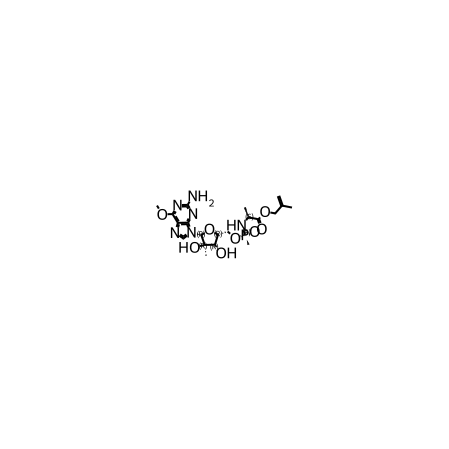 C=C(C)COC(=O)[C@H](C)N[P@](C)(=O)OC[C@H]1O[C@@H](n2cnc3c(OC)nc(N)nc32)[C@](C)(O)[C@@H]1O